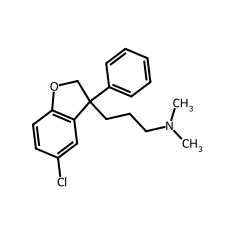 CN(C)CCCC1(c2ccccc2)COc2ccc(Cl)cc21